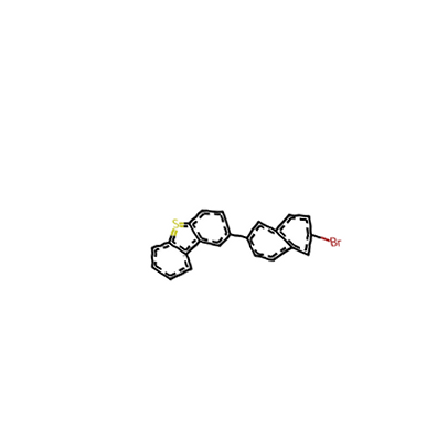 Brc1ccc2cc(-c3ccc4sc5ccccc5c4c3)ccc2c1